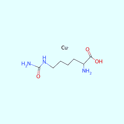 NC(=O)NCCCCC(N)C(=O)O.[Cu]